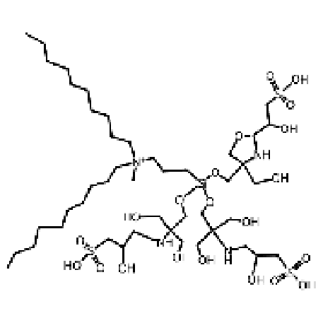 CCCCCCCCCC[N+](C)(CCCCCCCCCC)CCC[Si](OCC(CO)(CO)NCC(O)CS(=O)(=O)O)(OCC(CO)(CO)NCC(O)CS(=O)(=O)O)OCC(CO)(CO)NCC(O)CS(=O)(=O)O